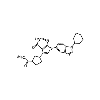 COC(=O)C1CCC(c2cn(-c3ccc4c(c3)ncn4C3CCCCC3)c3nc[nH]c(=O)c23)C1